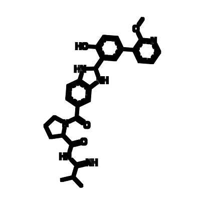 COc1ncccc1-c1ccc(O)c(C2Nc3ccc(C(=O)N4CCCC4C(=O)NC(=N)C(C)C)cc3N2)c1